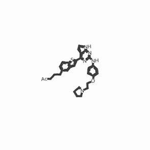 CC(=O)CCCc1ccc2sc(-c3nc(Nc4ccc(OCCN5CCCC5)cc4)nc4[nH]ccc34)cc2c1